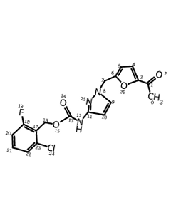 CC(=O)c1ccc(Cn2ccc(NC(=O)OCc3c(F)cccc3Cl)n2)o1